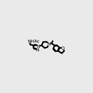 CC(=O)NCc1cnn(C2CCN(C(C)c3ccc4c(c3)OCC4)CC2)c1